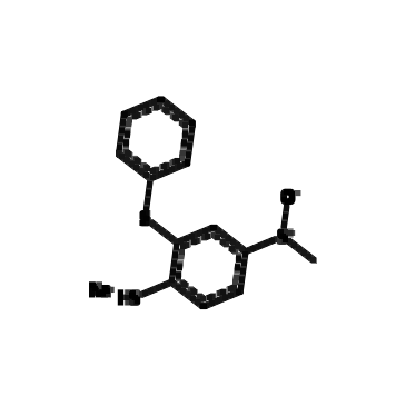 C[S+]([O-])c1ccc(S)c(Sc2ccccc2)c1.[Na]